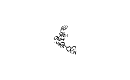 C[C@@H](Cn1ccc(-c2ccc(C#N)c(Cl)c2)n1)NC(=O)c1cc(CN2CCOCC2)n[nH]1